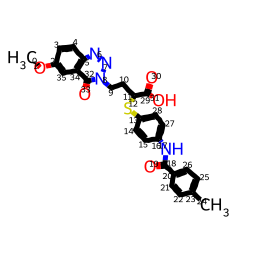 COc1ccc2nnn(CCC(Sc3ccc(NC(=O)c4ccc(C)cc4)cc3)C(=O)O)c(=O)c2c1